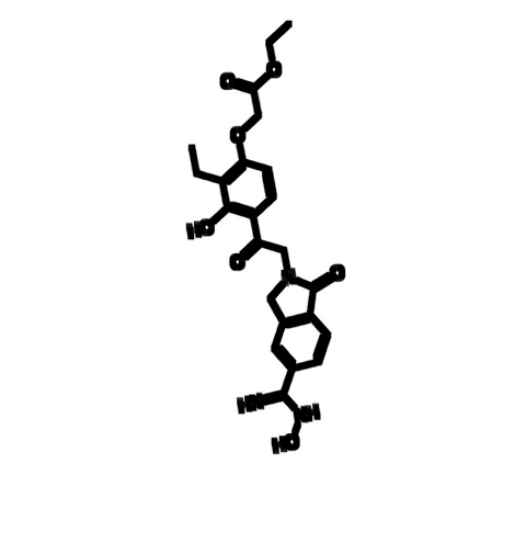 CCOC(=O)COc1ccc(C(=O)CN2Cc3cc(C(=N)NO)ccc3C2=O)c(O)c1CC